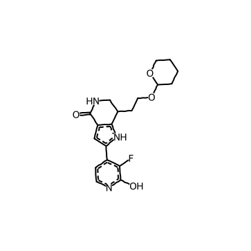 O=C1NCC(CCOC2CCCCO2)c2[nH]c(-c3ccnc(O)c3F)cc21